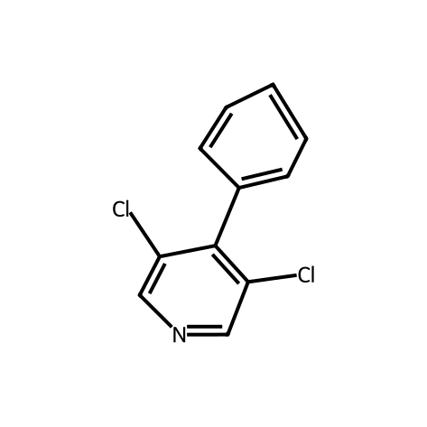 Clc1cncc(Cl)c1-c1ccccc1